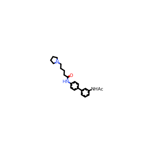 CC(=O)Nc1cccc(-c2ccc(NC(=O)CCCCN3CCCC3)cc2)c1